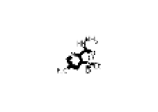 CCS(=O)(=O)c1cc(C(F)(F)F)cnc1C(=O)NN